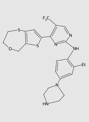 CCc1cc(N2CCNCC2)ccc1Nc1ncc(C(F)(F)F)c(-c2cc3c(s2)COCCS3)n1